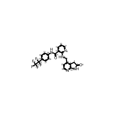 O=C1Cc2c(CNc3ncccc3C(=O)Nc3ccc(C(F)(F)C(F)(F)F)cc3)ccnc2N1